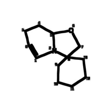 C1=CN2C(CC1)OCC21CCCCC1